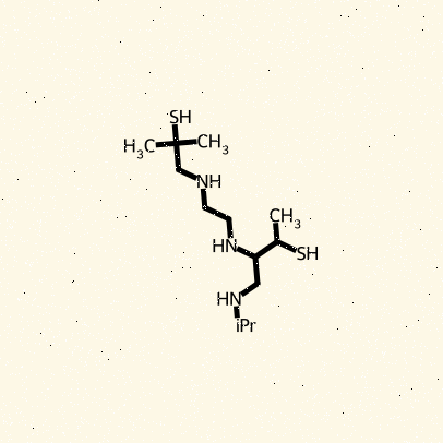 CC(C)NCC(NCCNCC(C)(C)S)C(C)S